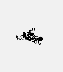 CCC[C@@H](NC(=O)N1C(=O)C(CC)(CC)[C@@H]1Oc1ccc(C(=O)O[C@@H](C)C(=O)OCc2ccccc2)cc1)c1ccc(C)cc1